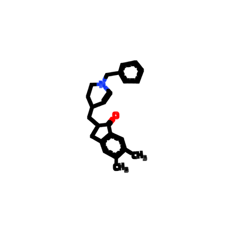 Cc1cc2c(cc1C)C(=O)C(CC1C=CN(Cc3ccccc3)CC1)C2